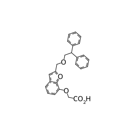 O=C(O)COc1cccc2cc(COCC(c3ccccc3)c3ccccc3)oc12